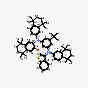 CC(C)(C)c1cc2c3c(c1)N(c1ccc4c(c1)C(C)(C)CCC4(C)C)c1c(sc4ccccc14)B3c1cc3c(cc1N2c1ccc2c(c1)C(C)(C)CCC2(C)C)C(C)(C)CCC3(C)C